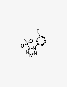 CS(=O)(=O)c1nnnn1-c1cccc(F)c1